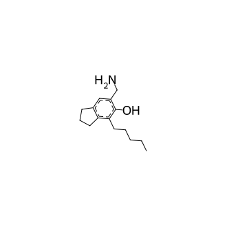 CCCCCc1c(O)c(CN)cc2c1CCC2